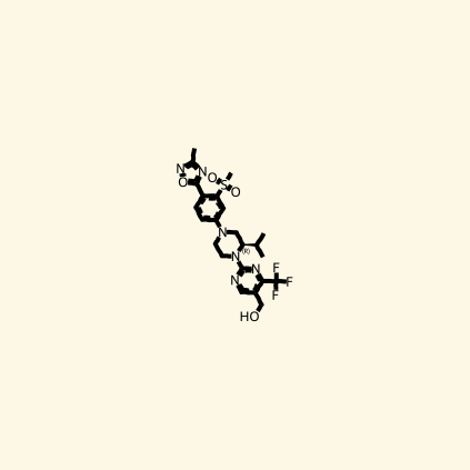 Cc1noc(-c2ccc(N3CCN(c4ncc(CO)c(C(F)(F)F)n4)[C@H](C(C)C)C3)cc2S(C)(=O)=O)n1